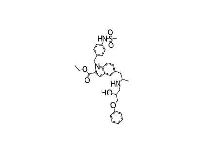 CCOC(=O)c1cc2cc(CC(C)NCC(O)COc3ccccc3)ccc2n1Cc1ccc(NS(C)(=O)=O)cc1